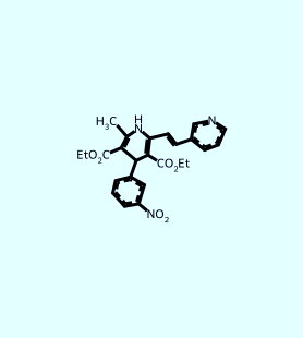 CCOC(=O)C1=C(C)NC(C=Cc2cccnc2)=C(C(=O)OCC)C1c1cccc([N+](=O)[O-])c1